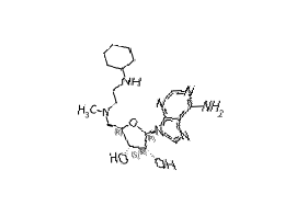 CN(CCNC1CCCCC1)C[C@H]1O[C@@H](n2cnc3c(N)ncnc32)[C@H](O)[C@@H]1O